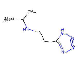 CNC(C)NCCc1nnn[nH]1